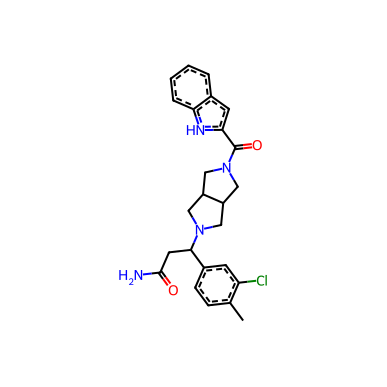 Cc1ccc(C(CC(N)=O)N2CC3CN(C(=O)c4cc5ccccc5[nH]4)CC3C2)cc1Cl